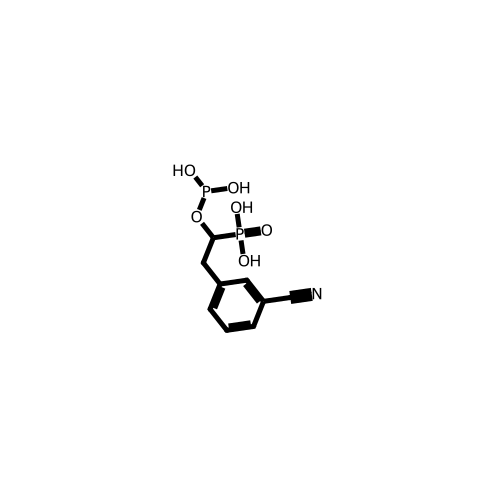 N#Cc1cccc(CC(OP(O)O)P(=O)(O)O)c1